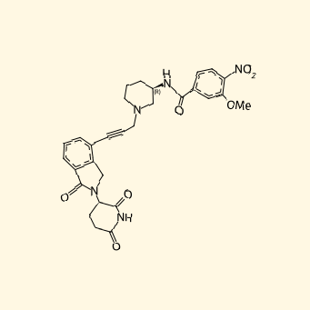 COc1cc(C(=O)N[C@@H]2CCCN(CC#Cc3cccc4c3CN(C3CCC(=O)NC3=O)C4=O)C2)ccc1[N+](=O)[O-]